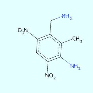 Cc1c(N)c([N+](=O)[O-])cc([N+](=O)[O-])c1CN